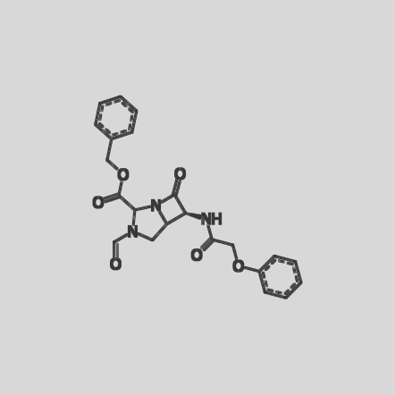 O=CN1CC2[C@H](NC(=O)COc3ccccc3)C(=O)N2C1C(=O)OCc1ccccc1